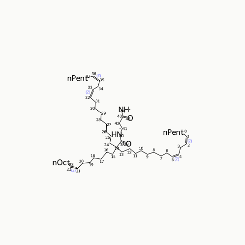 CCCCC/C=C\C/C=C\CCCCCCCCC(CCCCCC/C=C\CCCCCCCC)(CCCCCCCC/C=C\C/C=C\CCCCC)C(=O)N[CH]CC([NH])=O